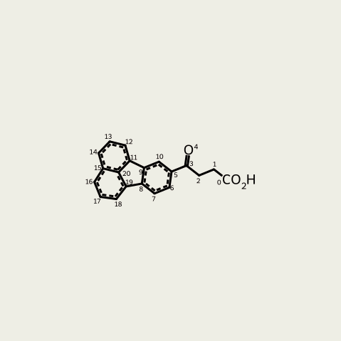 O=C(O)CCC(=O)c1ccc2c(c1)-c1cccc3cccc-2c13